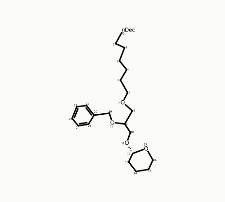 CCCCCCCCCCCCCCCCOCC(CO[C@H]1CCCCO1)OCc1ccccc1